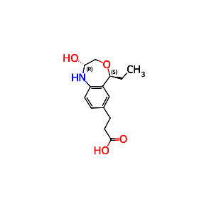 CC[C@@H]1OC[C@@H](O)Nc2ccc(CCC(=O)O)cc21